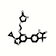 O=C1C[C@@H](CCOc2nc(-c3ccc4c(c3)NC(=O)C4(F)F)cc3ncn(C4CC4)c23)CN1